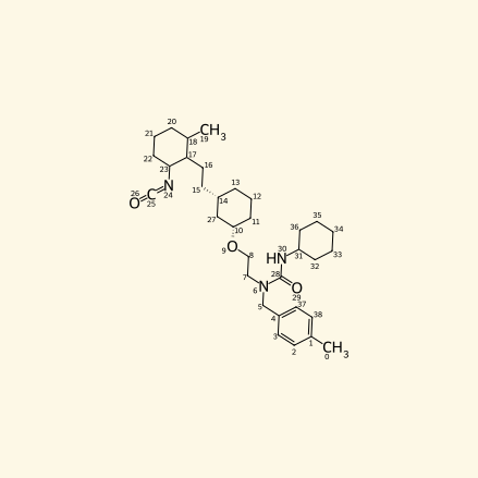 Cc1ccc(CN(CCO[C@H]2CCC[C@@H](CCC3C(C)CCCC3N=C=O)C2)C(=O)NC2CCCCC2)cc1